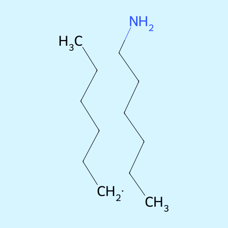 CCCCCCN.[CH2]CCCCC